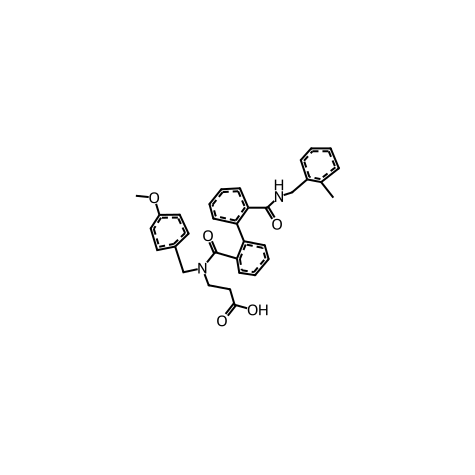 COc1ccc(CN(CCC(=O)O)C(=O)c2ccccc2-c2ccccc2C(=O)NCc2ccccc2C)cc1